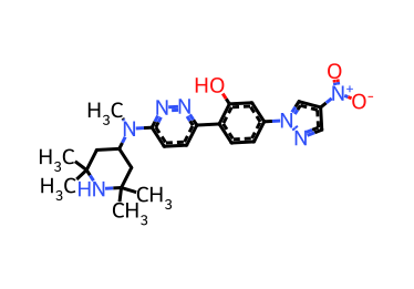 CN(c1ccc(-c2ccc(-n3cc([N+](=O)[O-])cn3)cc2O)nn1)C1CC(C)(C)NC(C)(C)C1